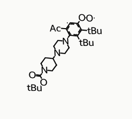 CC(=O)c1[c]c(O[O])c(C(C)(C)C)c(C(C)(C)C)c1N1CCN(C2CCN(C(=O)OC(C)(C)C)CC2)CC1